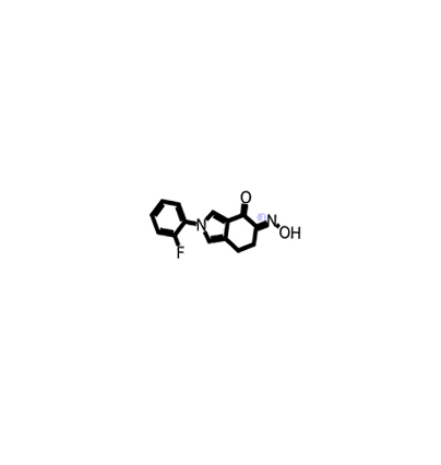 O=C1/C(=N/O)CCc2cn(-c3ccccc3F)cc21